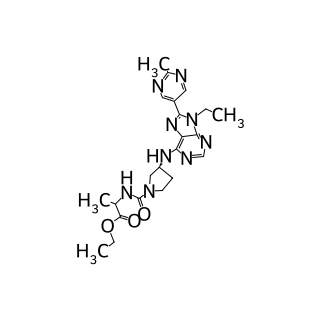 CCOC(=O)C(C)NC(=O)N1CC[C@H](Nc2ncnc3c2nc(-c2cnc(C)nc2)n3CC)C1